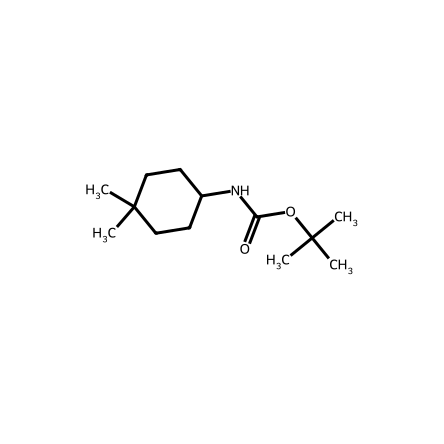 CC1(C)CCC(NC(=O)OC(C)(C)C)CC1